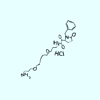 Cl.NCCCOCCCCOCCCNC(=O)C(=O)C1CCC(=O)N1Cc1ccccc1